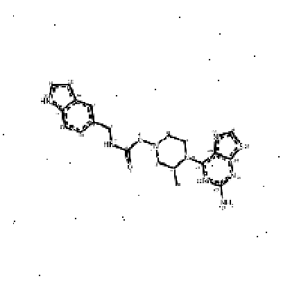 C[C@H]1CN(OC(=O)NCc2ccc3[nH]ccc3c2)CCN1c1nc(N)nc2scnc12